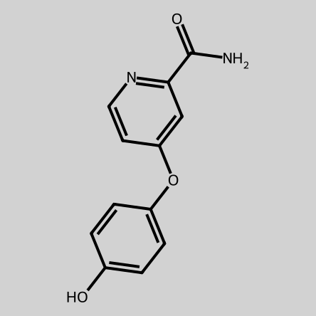 NC(=O)c1cc(Oc2ccc(O)cc2)ccn1